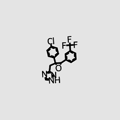 FC(F)(F)c1cccc(C2OC2(Cc2nc[nH]n2)c2ccc(Cl)cc2)c1